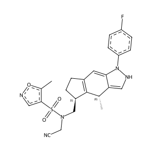 Cc1oncc1S(=O)(=O)N(CC#N)C[C@H]1CCC2=C1[C@@H](C)C1=CNN(c3ccc(F)cc3)C1=C2